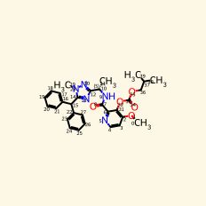 COc1ccnc(C(=O)N[C@@H](C)c2nc(C(c3ccccc3)c3ccccc3)n(C)n2)c1OC(=O)OCC(C)C